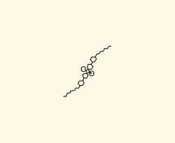 CCCCCCCCC1CCC(C2CCC3(CC2)C(=O)C2(CCC(C4CCC(CCCCCCCC)CC4)CC2)C3=O)CC1